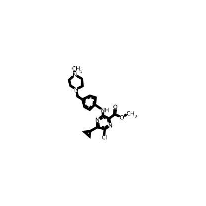 COC(=O)c1nc(Cl)c(C2CC2)nc1Nc1ccc(CN2CCN(C)CC2)cc1